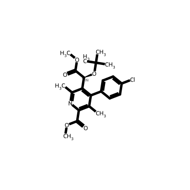 COC(=O)c1nc(C)c([C@H](OC(C)(C)C)C(=O)OC)c(-c2ccc(Cl)cc2)c1C